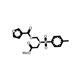 COC(=O)CN(COC(=O)c1ccoc1)S(=O)(=O)c1ccc(C)cc1